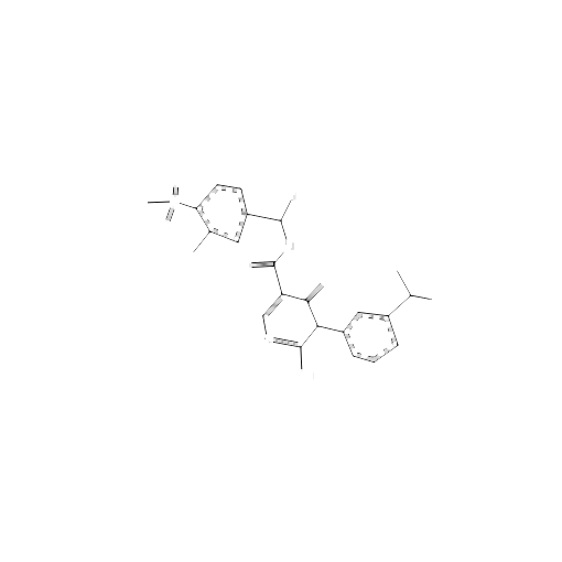 CC1=NC=C(C(=O)NC(c2ccc(S(C)(=O)=O)c(F)c2)C(C)C)C(=O)C1c1cccc(C(F)F)c1